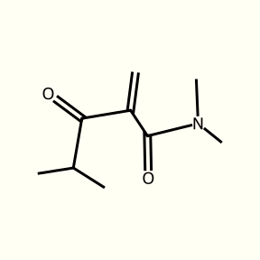 C=C(C(=O)C(C)C)C(=O)N(C)C